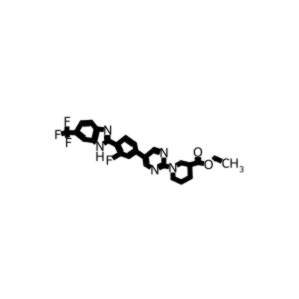 CCOC(=O)C1CCCN(c2ncc(-c3ccc(-c4nc5ccc(C(F)(F)F)cc5[nH]4)c(F)c3)cn2)C1